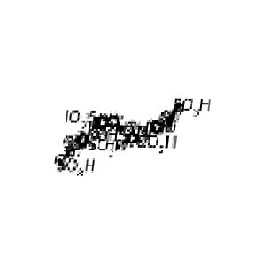 O=C(O)c1cc(O)c(N=Nc2ccc3cc(S(=O)(=O)O)c(N=Nc4ccc(S(=O)(=O)CCOS(=O)(=O)O)cc4S(=O)(=O)O)c(O)c3c2)c(O)c1N=Nc1ccc(S(=O)(=O)CCOS(=O)(=O)O)cc1